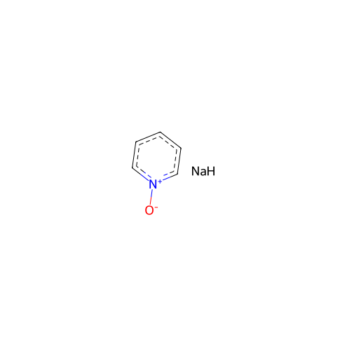 [NaH].[O-][n+]1ccccc1